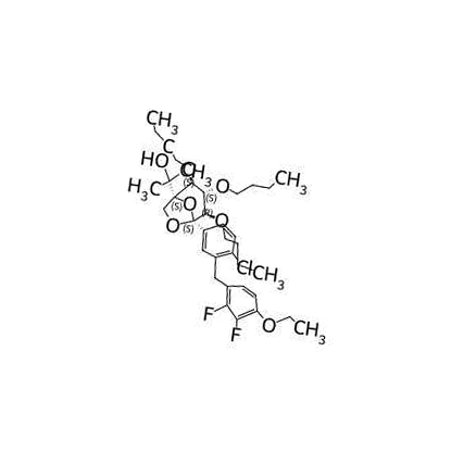 CCCCO[C@@H]1[C@@H](OCCCC)[C@@]2(c3ccc(Cl)c(Cc4ccc(OCC)c(F)c4F)c3)OC[C@](C(C)(C)O)(O2)[C@H]1OCCCC